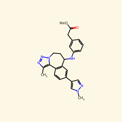 COC(=O)Cc1cccc(NC2CCn3nnc(C)c3-c3ccc(-c4cnn(C)c4)cc32)c1